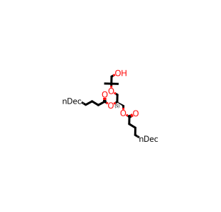 CCCCCCCCCCCCCC(=O)OC[C@H](COC(C)(C)CO)OC(=O)CCCCCCCCCCCCC